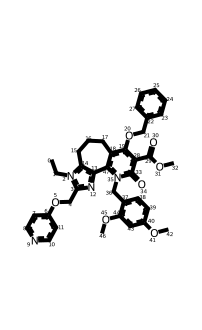 CCn1c(COc2ccncc2)nc2c1CCCc1c(OCc3ccccc3)c(C(=O)OC)c(=O)n(Cc3ccc(OC)cc3OC)c1-2